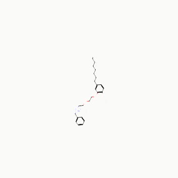 CCCCCCCCc1ccc(C)c(OCCOCC[N+](C)(C)Cc2ccccc2)c1.[Cl-]